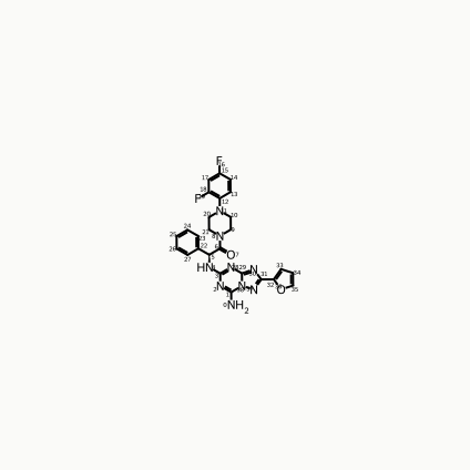 Nc1nc(N[C@H](C(=O)N2CCN(c3ccc(F)cc3F)CC2)c2ccccc2)nc2nc(-c3ccco3)nn12